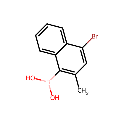 Cc1cc(Br)c2ccccc2c1B(O)O